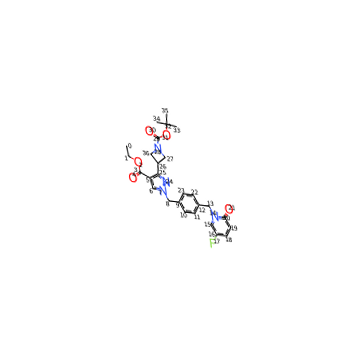 CCOC(=O)c1cn(Cc2ccc(Cn3cc(F)ccc3=O)cc2)nc1C1CN(C(=O)OC(C)(C)C)C1